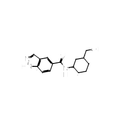 O=C(NC1CCCC(CO)C1)c1ccc2[nH]ncc2c1